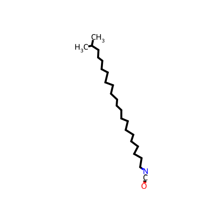 CC(C)CCCCCCCCCCCCCCCCCCCCN=C=O